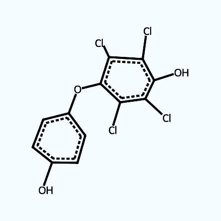 Oc1ccc(Oc2c(Cl)c(Cl)c(O)c(Cl)c2Cl)cc1